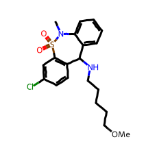 COCCCCCNC1c2ccccc2N(C)S(=O)(=O)c2cc(Cl)ccc21